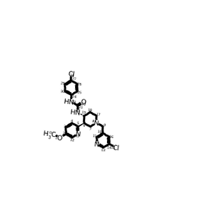 COc1ccc([C@@H]2CN(Cc3cncc(Cl)c3)CC[C@H]2NC(=O)Nc2ccc(Cl)cc2)nc1